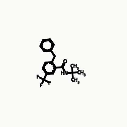 CC(C)(C)NC(=O)c1cc(C(F)(F)F)ccc1Cc1ccccc1